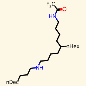 CCCCCCCCCCCCCNCCCCC(CCCCCC)CCCCNC(=O)C(F)(F)F